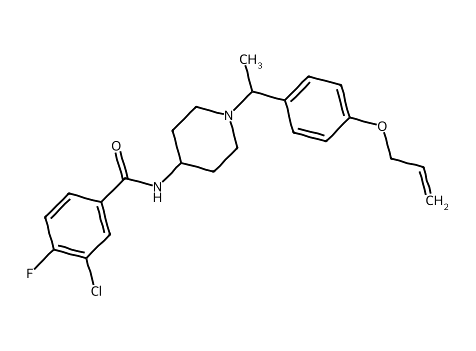 C=CCOc1ccc(C(C)N2CCC(NC(=O)c3ccc(F)c(Cl)c3)CC2)cc1